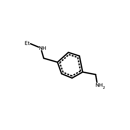 CCNCc1ccc(CN)cc1